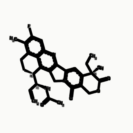 C=C[C@H](NC(C)=O)[C@@H]1CCc2c(C)c(F)cc3nc4c(c1c23)Cn1c-4cc2c(c1=O)COC(=O)[C@]2(O)CC